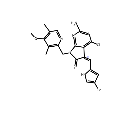 COc1c(C)cnc(CN2C(=O)/C(=C\c3cc(Br)c[nH]3)c3c(Cl)nc(N)nc32)c1C